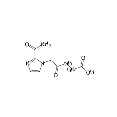 NC(=O)c1nccn1CC(=O)NNC(=O)O